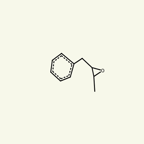 CC1OC1Cc1ccccc1